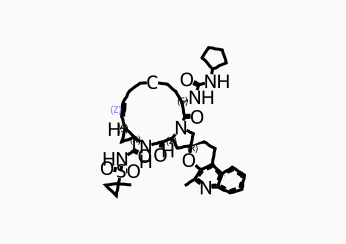 Cc1nc2ccccc2c2c1O[C@]1(CC2)C[C@H]2C(=O)N[C@]3(C(=O)NS(=O)(=O)C4(C)CC4)C[C@H]3/C=C\CCCCC[C@H](NC(=O)NC3CCCC3)C(=O)N2C1